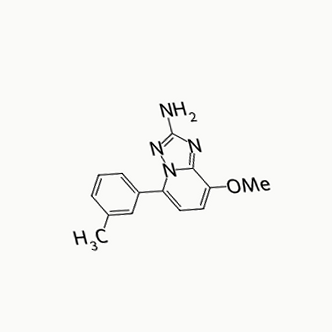 COc1ccc(-c2cccc(C)c2)n2nc(N)nc12